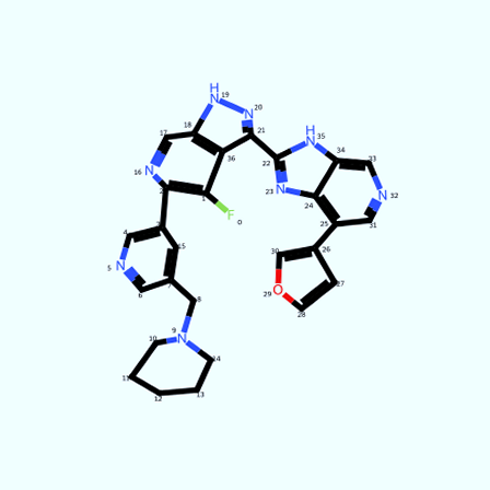 Fc1c(-c2cncc(CN3CCCCC3)c2)ncc2[nH]nc(-c3nc4c(-c5ccoc5)cncc4[nH]3)c12